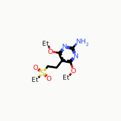 CCOc1nc(N)nc(OCC)c1CCS(=O)(=O)CC